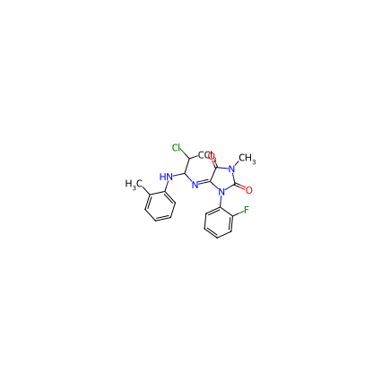 Cc1ccccc1NC(N=C1C(=O)N(C)C(=O)N1c1ccccc1F)C(Cl)C(Cl)(Cl)Cl